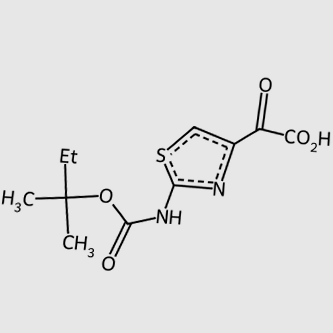 CCC(C)(C)OC(=O)Nc1nc(C(=O)C(=O)O)cs1